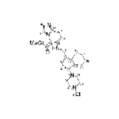 CCN1CCN(c2ccc(CNc3ccc4nccn4c3C(=O)OC)c3c2CCCC3)CC1